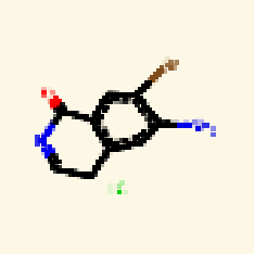 Cl.Nc1cc2c(cc1Br)C(=O)N=CC2